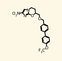 O=[N+]([O-])c1cn2c(n1)OC(COCc1ccc(-c3ccc(OC(F)(F)F)cc3)cc1)CC2